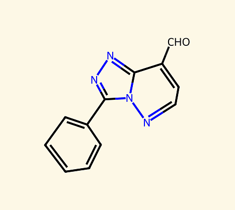 O=Cc1ccnn2c(-c3ccccc3)nnc12